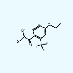 CCOc1cc(C(F)(F)F)c(C(=O)C(Br)Br)nn1